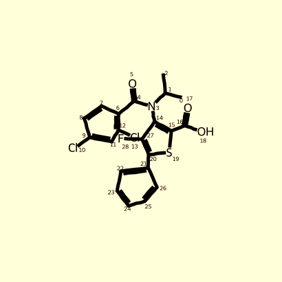 CC(C)N(C(=O)c1ccc(Cl)cc1Cl)c1c(C(=O)O)sc(-c2ccccc2)c1F